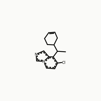 CC(c1c(Cl)ccn2cncc12)C1CC=CCC1